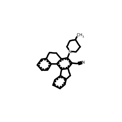 CC1CCN(c2c(C#N)c3c(c4c2CCc2ccccc2-4)-c2ccccc2C3)CC1